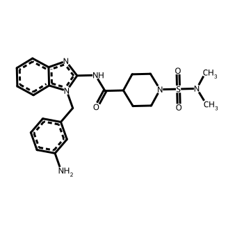 CN(C)S(=O)(=O)N1CCC(C(=O)Nc2nc3ccccc3n2Cc2cccc(N)c2)CC1